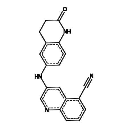 N#Cc1cccc2ncc(Nc3ccc4c(c3)CCC(=O)N4)cc12